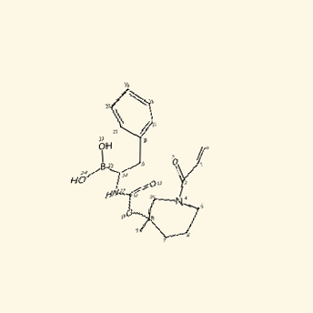 C=CC(=O)N1CCCC(C)(OC(=O)NC(Cc2ccccc2)B(O)O)C1